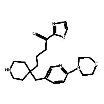 O=C(CCCC1(Cc2ccc(N3CCOCC3)nc2)CCNCC1)c1ncco1